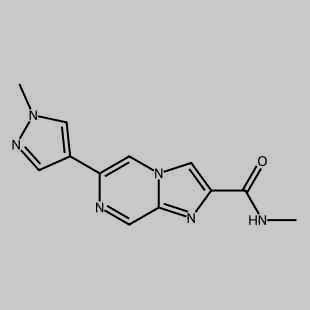 CNC(=O)c1cn2cc(-c3cnn(C)c3)ncc2n1